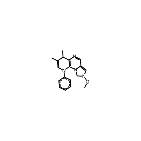 CON1C=C2C=NC3=C(N2C1)N(c1ccccc1)C=C(C)C3C